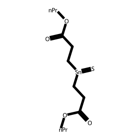 CCCOC(=O)C[CH2][Sn](=[S])[CH2]CC(=O)OCCC